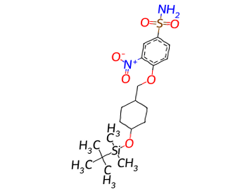 CC(C)(C)[Si](C)(C)OC1CCC(COc2ccc(S(N)(=O)=O)cc2[N+](=O)[O-])CC1